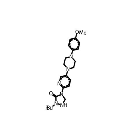 CCC(C)N1NCN(c2ccc(N3CCN(c4ccc(OC)cc4)CC3)cn2)C1=O